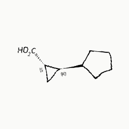 O=C(O)[C@H]1C[C@@H]1C1CCCC1